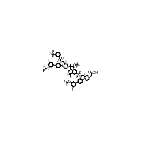 CC(C)(C)OC(=O)C(C)(Cc1ccc(S(=O)(=O)N2C[C@@H]3CN(CC(=O)O)CCN3c3ccc(-c4cc(F)cc(OC(F)F)c4)cc32)cc1C(F)(F)F)N1CCN2c3ccc(-c4cc(F)cc(OC(F)F)c4)cc3N(S(=O)(=O)c3cccc(C(F)(F)F)c3)C[C@@H]2C1